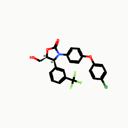 O=C1O[C@@H](CO)[C@H](c2cccc(C(F)(F)F)c2)N1c1ccc(Oc2ccc(Cl)cc2)cc1